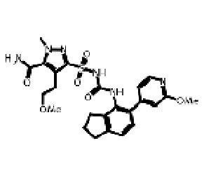 COCCc1c(S(=O)(=O)NC(=O)Nc2c(-c3ccnc(OC)c3)ccc3c2CCC3)nn(C)c1C(N)=O